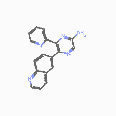 Nc1cnc(-c2ccc3ncccc3c2)c(-c2ccccn2)n1